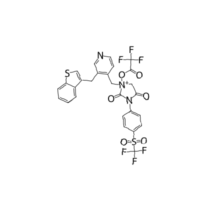 O=C1C[N+](Cc2ccncc2Cc2csc3ccccc23)(OC(=O)C(F)(F)F)C(=O)N1c1ccc(S(=O)(=O)C(F)(F)F)cc1